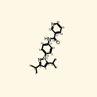 CC(C)c1cc(C(C)C)n(-c2ccc(NC(=O)c3cccnc3)cc2)n1